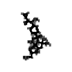 C=CC(=O)NC1CC(C)(C)N(S(=O)(=O)c2ccc(N(C)C(=O)C3CC3)cc2)C1(C)C